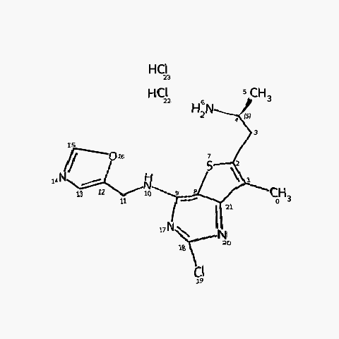 Cc1c(C[C@H](C)N)sc2c(NCc3cnco3)nc(Cl)nc12.Cl.Cl